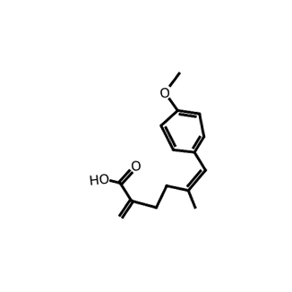 C=C(CCC(C)=Cc1ccc(OC)cc1)C(=O)O